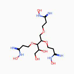 N=C(CCOCC(OCCC(=N)NO)C(OCCC(=N)NO)C(O)CO)NO